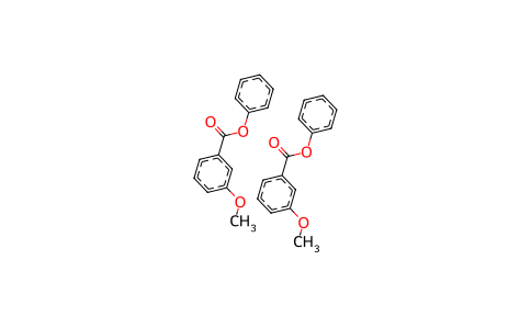 COc1cccc(C(=O)Oc2ccccc2)c1.COc1cccc(C(=O)Oc2ccccc2)c1